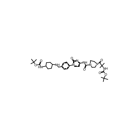 CC(C)(C)OC(=O)NC1CCC(NCc2ccc(-n3ccc(NC(=O)N4CCN(C(=O)C(C)(C)NC(=O)OC(C)(C)C)CC4)nc3=O)cc2)CC1